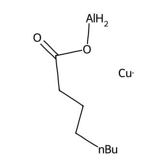 CCCCCCCC(=O)[O][AlH2].[Cu]